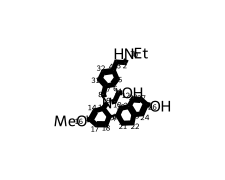 CCNCCc1ccc(CN(CCO)C2C=C(OC)C=CC2[C@@H]2CCc3cc(O)ccc3C2)cc1